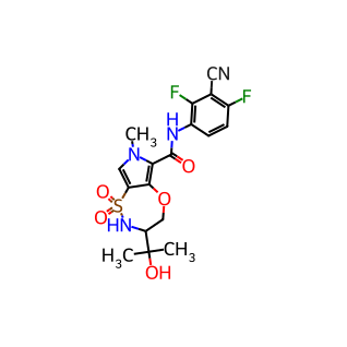 Cn1cc2c(c1C(=O)Nc1ccc(F)c(C#N)c1F)OCC(C(C)(C)O)NS2(=O)=O